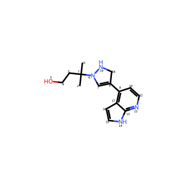 CC(C)(CCO)N1C=C(c2ccnc3[nH]ccc23)CN1